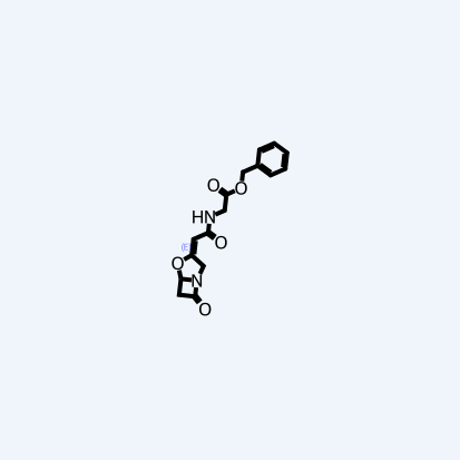 O=C(/C=C1\CN2C(=O)CC2O1)NCC(=O)OCc1ccccc1